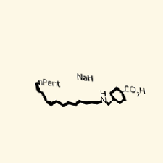 CCCCC/C=C\C/C=C\CCCCCCCCNC[C@H]1CC[C@H](C(=O)O)CC1.[NaH]